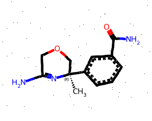 C[C@@]1(c2cccc(C(N)=O)c2)COCC(N)=N1